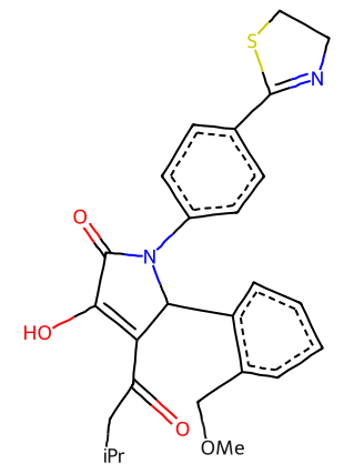 COCc1ccccc1C1C(C(=O)CC(C)C)=C(O)C(=O)N1c1ccc(C2=NCCS2)cc1